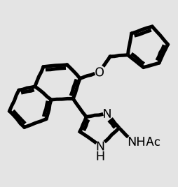 CC(=O)Nc1nc(-c2c(OCc3ccccc3)ccc3ccccc23)c[nH]1